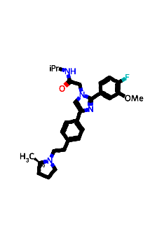 COc1cc(-c2nc(-c3ccc(CCN4CCC[C@H]4C)cc3)cn2CC(=O)NC(C)C)ccc1F